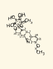 CCOc1ccc(Cc2cc3c(cc2C#N)CO[C@]32O[C@H](C)[C@@H](O)[C@H](O)[C@H]2O)cc1